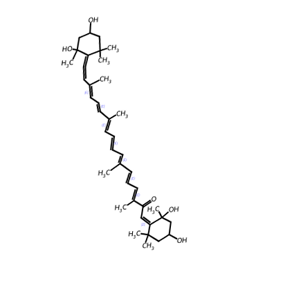 C\C(C=C=C1C(C)(C)CC(O)CC1(C)O)=C/C=C/C(C)=C/C=C/C=C(C)/C=C/C=C(\C)C(=O)/C=C1/C(C)(C)CC(O)CC1(C)O